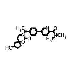 C[C@@H](c1ccc(-c2ccc(C(=O)N(C)C)nc2)cc1)N1CCC2(CCC(O)C2)OC1=O